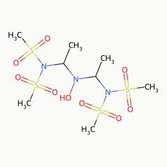 CC(N(O)C(C)N(S(C)(=O)=O)S(C)(=O)=O)N(S(C)(=O)=O)S(C)(=O)=O